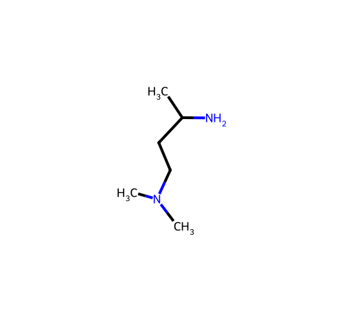 CC(N)CCN(C)C